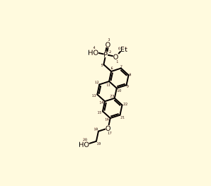 CCOP(=O)(O)Cc1cccc2c1ccc1cc(OCCO)ccc12